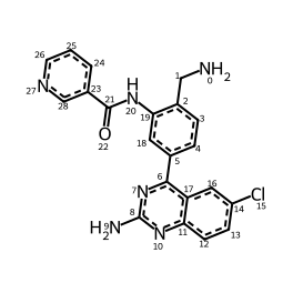 NCc1ccc(-c2nc(N)nc3ccc(Cl)cc23)cc1NC(=O)c1cccnc1